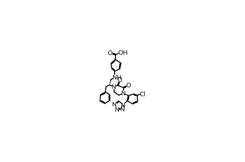 O=C(O)c1ccc(NC[C@H](Cc2ccccc2)N2CCN(c3cc(Cl)ccc3-n3cnnn3)C(=O)C2=O)cc1